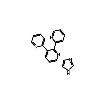 c1c[nH]cn1.c1ccc(-c2cccnc2-c2ccccn2)nc1